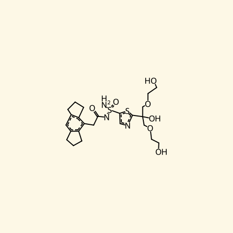 NS(=O)(=NC(=O)Cc1c2c(cc3c1CCC3)CCC2)c1cnc(C(O)(COCCO)COCCO)s1